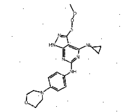 COOSc1n[nH]c2nc(Nc3ccc(N4CCOCC4)cc3)nc(NC3CC3)c12